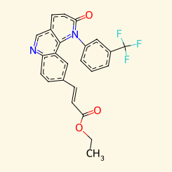 CCOC(=O)/C=C/c1ccc2ncc3ccc(=O)n(-c4cccc(C(F)(F)F)c4)c3c2c1